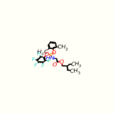 CCC(CC)COC(=O)CNP(Oc1c(C)cccc1C)Oc1c(F)c(F)c(F)c(F)c1F